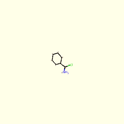 NC(Cl)C1CCCCC1